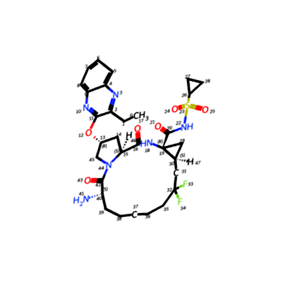 CCc1nc2ccccc2nc1O[C@@H]1C[C@H]2C(=O)N[C@]3(C(=O)NS(=O)(=O)C4CC4)C[C@H]3CC(F)(F)CCCCC[C@H](N)C(=O)N2C1